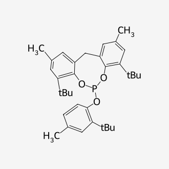 Cc1ccc(OP2Oc3c(cc(C)cc3C(C)(C)C)Cc3cc(C)cc(C(C)(C)C)c3O2)c(C(C)(C)C)c1